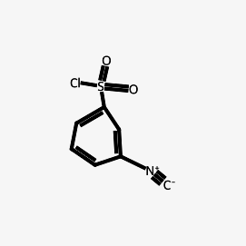 [C-]#[N+]c1cccc(S(=O)(=O)Cl)c1